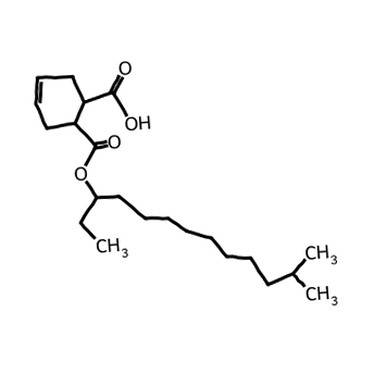 CCC(CCCCCCCCC(C)C)OC(=O)C1CC=CCC1C(=O)O